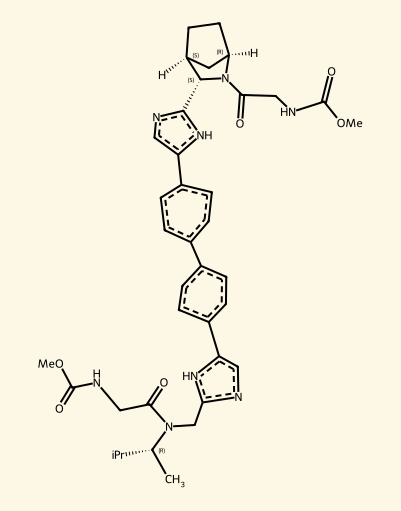 COC(=O)NCC(=O)N(Cc1ncc(-c2ccc(-c3ccc(-c4cnc([C@@H]5[C@H]6CC[C@H](C6)N5C(=O)CNC(=O)OC)[nH]4)cc3)cc2)[nH]1)[C@H](C)C(C)C